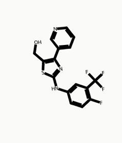 OCc1sc(Nc2ccc(F)c(C(F)(F)F)c2)nc1-c1cccnc1